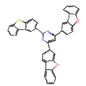 c1ccc2c(c1)oc1cc(-c3cc(-c4ccc5oc6ccccc6c5c4)nc(-c4ccc5sc6ccccc6c5c4)n3)ccc12